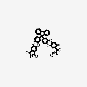 Cc1cc2c(cc1C(=O)N(C)C=O)Oc1ccc(C3(c4ccc5oc6cc7c(=O)n(C)c(=O)c7cc6oc5c4)c4ccccc4-c4ccccc43)cc1O2